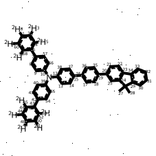 [2H]c1c([2H])c([2H])c(-c2ccc(N(c3ccc(-c4ccc(-c5ccc6c(c5)C(C)(C)c5ccccc5-6)cc4)cc3)c3ccc(-c4c([2H])c([2H])c([2H])c([2H])c4[2H])cc3)cc2)c([2H])c1[2H]